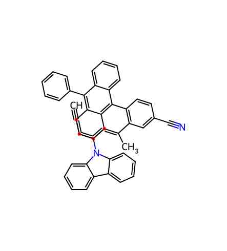 C#C/C=C(\C=C(/C)c1cc(C#N)ccc1-c1c2ccccc2c(-c2ccccc2)c2ccccc12)n1c2ccccc2c2ccccc21